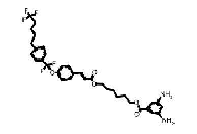 Nc1cc(N)cc(C(=O)OCCCCCCOC(=O)C=Cc2ccc(OC(F)(F)c3ccc(CCCCC(F)(F)F)cc3)cc2)c1